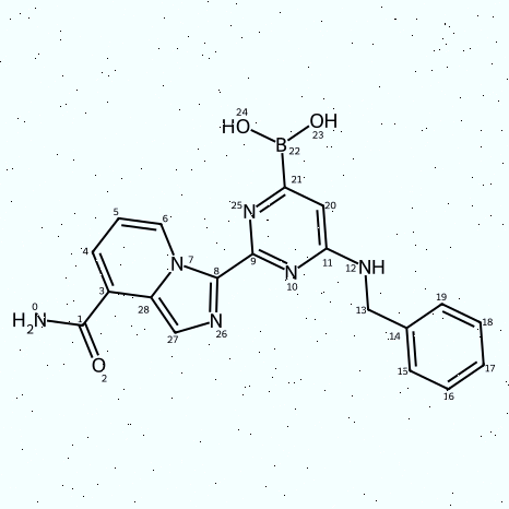 NC(=O)c1cccn2c(-c3nc(NCc4ccccc4)cc(B(O)O)n3)ncc12